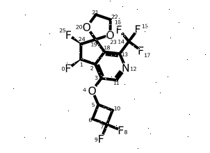 F[C@@H]1c2c(OC3CC(F)(F)C3)cnc(C(F)(F)F)c2C2(OCCO2)[C@@H]1F